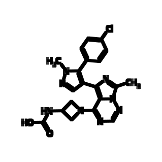 Cc1nc(-c2cnn(C)c2-c2ccc(Cl)cc2)c2c(N3CC(NC(=O)O)C3)ncnn12